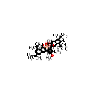 COc1ccc(P(O)(O)(O)c2cc3c(C(C)(C)C)cc(C(C)(C)C)cc3cc2C(C)(C)C)c(-c2cc3c(C(C)(C)C)cc(C(C)(C)C)cc3cc2C(C)(C)C)c1